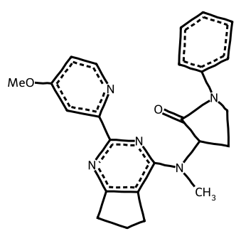 COc1ccnc(-c2nc3c(c(N(C)C4CCN(c5ccccc5)C4=O)n2)CCC3)c1